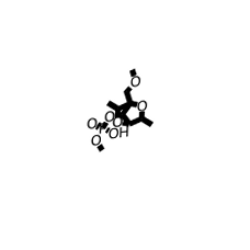 COCC12OC(C)C(OC1C)C2OP(=O)(O)OC